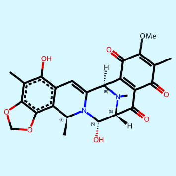 COC1=C(C)C(=O)C2=C(C1=O)[C@@H]1C3=Cc4c(O)c(C)c5c(c4[C@H](C)N3[C@@H](O)[C@@H](C2=O)N1C)OCO5